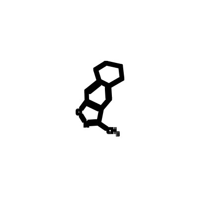 Cc1noc2cc3c(cc12)CCCC3